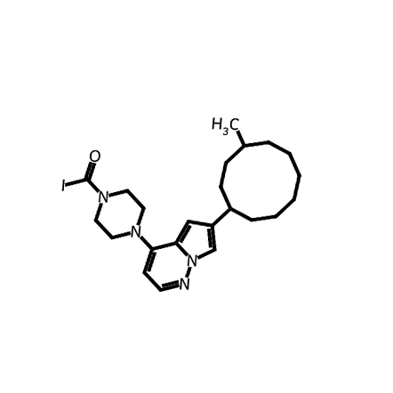 CC1CCCCCCC(c2cc3c(N4CCN(C(=O)I)CC4)ccnn3c2)CC1